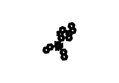 c1ccc2cc(-c3nc(-c4ccc5ccccc5c4)nc(-c4ccc5c(c4)sc4cccc(-n6c7ccccc7c7ccc8ccccc8c76)c45)n3)ccc2c1